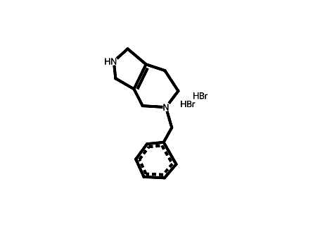 Br.Br.c1ccc(CN2CCC3=C(CNC3)C2)cc1